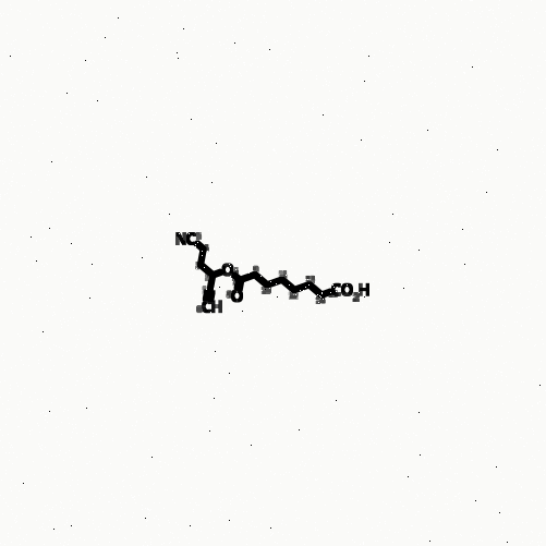 C#CC(CCC#N)OC(=O)CCCCCCC(=O)O